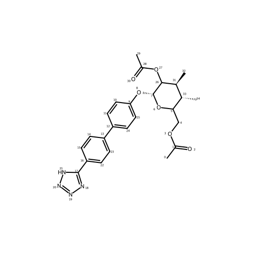 CC(=O)OCC1O[C@H](Oc2ccc(-c3ccc(-c4nnn[nH]4)cc3)cc2)C(OC(C)=O)[C@@H](C)[C@@H]1C